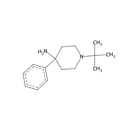 CC(C)(C)N1CCC(N)(c2ccccc2)CC1